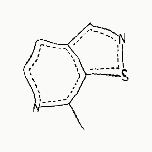 Cc1nccc2cnsc12